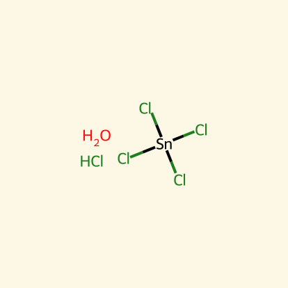 Cl.O.[Cl][Sn]([Cl])([Cl])[Cl]